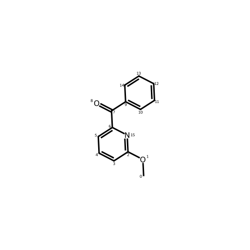 COc1cccc(C(=O)c2ccccc2)n1